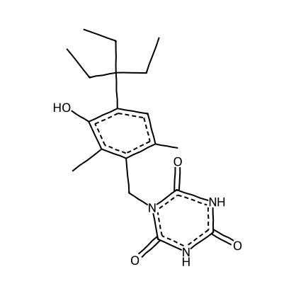 CCC(CC)(CC)c1cc(C)c(Cn2c(=O)[nH]c(=O)[nH]c2=O)c(C)c1O